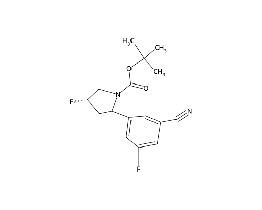 CC(C)(C)OC(=O)N1C[C@@H](F)CC1c1cc(F)cc(C#N)c1